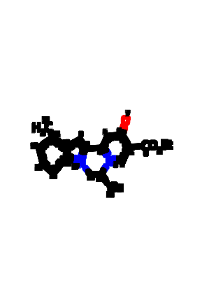 CCOC(=O)c1cn2c(cc1=O)-c1cc3c(C)cccc3n1CC2C(C)(C)C